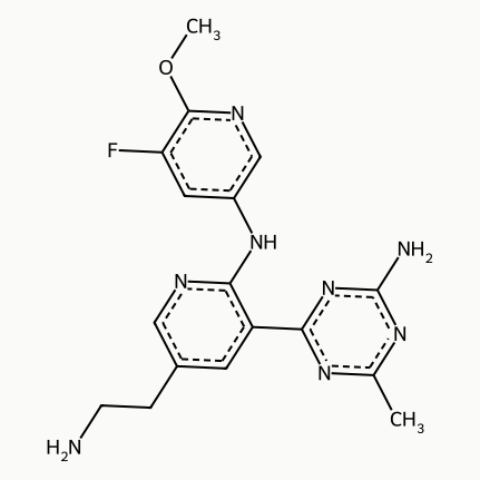 COc1ncc(Nc2ncc(CCN)cc2-c2nc(C)nc(N)n2)cc1F